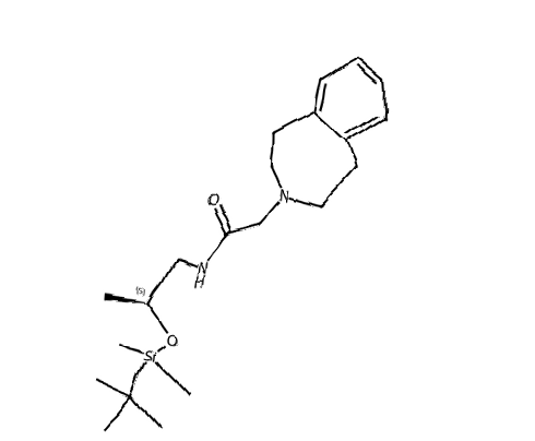 C[C@@H](CNC(=O)CN1CCc2ccccc2CC1)O[Si](C)(C)C(C)(C)C